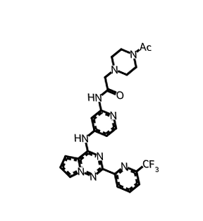 CC(=O)N1CCN(CC(=O)Nc2cc(Nc3nc(-c4cccc(C(F)(F)F)n4)nn4cccc34)ccn2)CC1